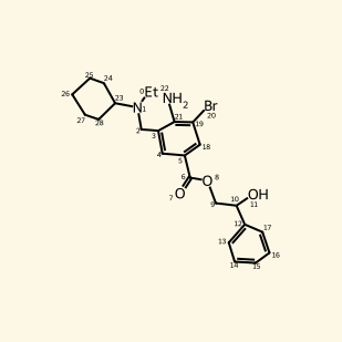 CCN(Cc1cc(C(=O)OCC(O)c2ccccc2)cc(Br)c1N)C1CCCCC1